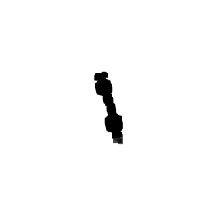 CN(C)c1ccc(C#CC#Cc2ccc(C#N)cc2)cc1